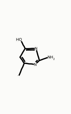 [CH2]c1cc(O)nc(N)n1